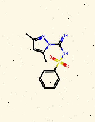 Cc1cc(C)n(C(=N)NS(=O)(=O)c2ccccc2)n1